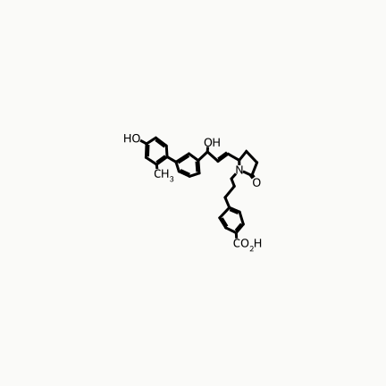 Cc1cc(O)ccc1-c1cccc(C(O)/C=C/C2CCC(=O)N2CCCc2ccc(C(=O)O)cc2)c1